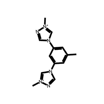 Cc1cc(-n2cn[n+](C)c2)cc(-n2cn[n+](C)c2)c1